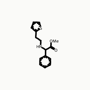 COC(=O)C(NCCc1cccs1)c1ccccc1